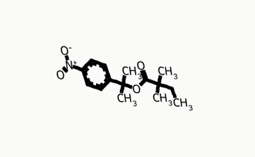 CCC(C)(C)C(=O)OC(C)(C)c1ccc([N+](=O)[O-])cc1